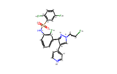 O=S(=O)(Nc1cccc(-c2nn(CCF)cc2-c2ccncc2)c1F)c1cc(F)ccc1F